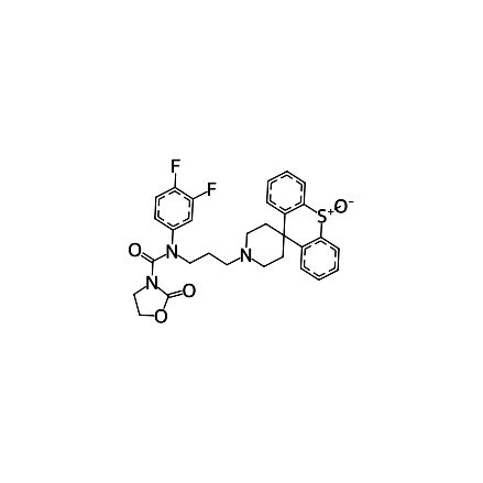 O=C1OCCN1C(=O)N(CCCN1CCC2(CC1)c1ccccc1[S+]([O-])c1ccccc12)c1ccc(F)c(F)c1